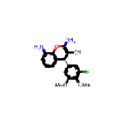 COc1cc([C@H]2C(C#N)=C(N)Oc3c(N)cccc32)cc(Br)c1OC